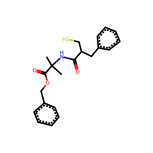 CC(C)(NC(=O)C(CS)Cc1ccccc1)C(=O)OCc1ccccc1